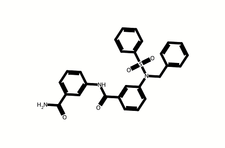 NC(=O)c1cccc(NC(=O)c2cccc(N(Cc3ccccc3)S(=O)(=O)c3ccccc3)c2)c1